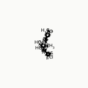 CO[C@@H]1[C@@H](n2cc(-c3cc(F)c(Cl)c(F)c3)nn2)[C@@H](O)[C@@H](CO)O[C@@H]1Cc1cc(C2CCN(C(C)=O)CC2)on1